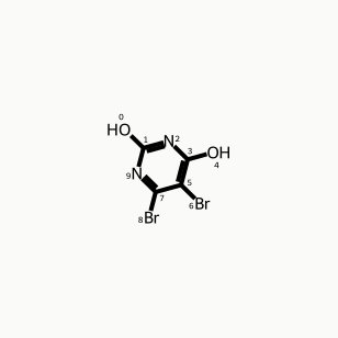 Oc1nc(O)c(Br)c(Br)n1